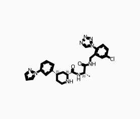 C[C@H](NC(=O)[C@H]1C[C@@H](c2cccc(-n3cccn3)c2)CCN1)C(=O)NCc1cc(Cl)ccc1-n1cnnn1